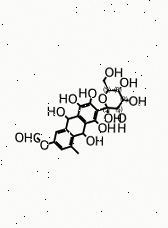 Cc1cc(OC=O)cc2c1C(O)c1c(O)c([C@]3(O)O[C@@H](CO)[C@H](O)[C@@H](O)[C@@H]3O)c(O)c(O)c1C2O